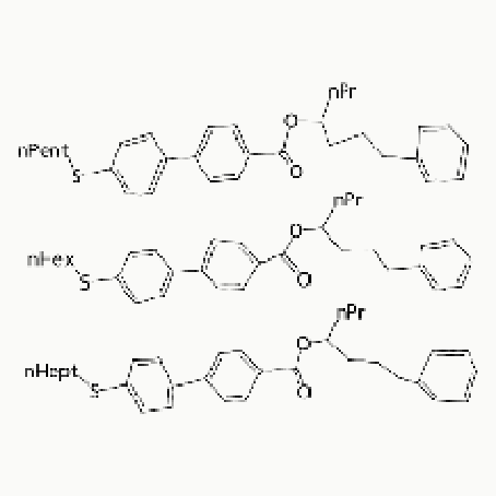 CCCCCCCSc1ccc(-c2ccc(C(=O)OC(CCC)CCCc3ccccc3)cc2)cc1.CCCCCCSc1ccc(-c2ccc(C(=O)OC(CCC)CCCc3ccccc3)cc2)cc1.CCCCCSc1ccc(-c2ccc(C(=O)OC(CCC)CCCc3ccccc3)cc2)cc1